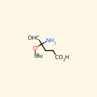 CC(C)(C)OC(N)(C=O)CCC(=O)O